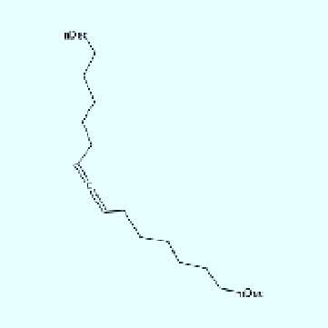 CCCCCCCCCCCCCCCC=C=CCCCCCCCCCCCCCCCC